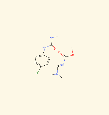 CNC(=O)Nc1ccc(Cl)cc1.COC(=O)N=CN(C)C